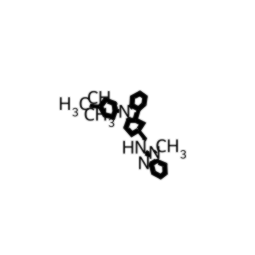 Cn1c(NCc2ccc3c(c2)c2ccccc2n3-c2ccc(C(C)(C)C)cc2)nc2ccccc21